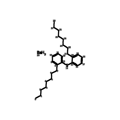 CCCCCCCCc1ccccc1Sc1ccccc1CCCCCCCC.[BaH2]